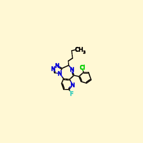 CCCCC1N=C(c2ccccc2Cl)c2nc(F)ccc2-n2cnnc21